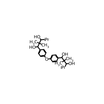 CC(C)C(O)C(C)(C)C(O)c1ccc(Oc2ccc(C(O)C(C)(C)C(O)C(C)C)cc2)cc1